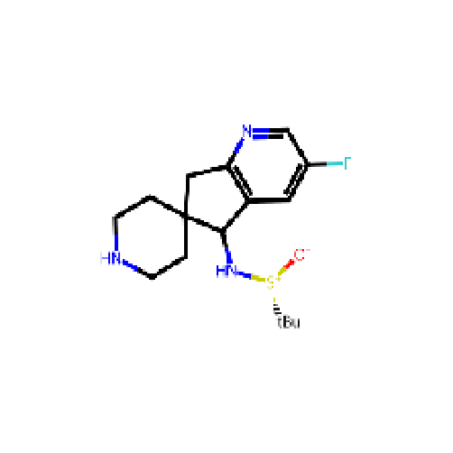 CC(C)(C)[S@@+]([O-])NC1c2cc(F)cnc2CC12CCNCC2